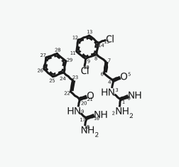 N=C(N)NC(=O)C=Cc1c(Cl)cccc1Cl.N=C(N)NC(=O)C=Cc1ccccc1